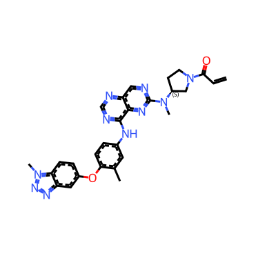 C=CC(=O)N1CC[C@H](N(C)c2ncc3ncnc(Nc4ccc(Oc5ccc6c(c5)nnn6C)c(C)c4)c3n2)C1